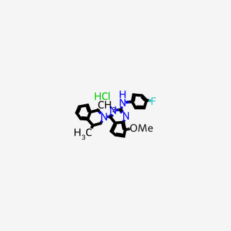 COc1cccc2c(N3CC(C)c4ccccc4C3C)nc(Nc3ccc(F)cc3)nc12.Cl